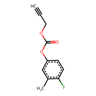 C#CCOC(=O)Oc1ccc(F)c(C)c1